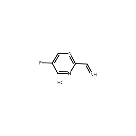 Cl.N=Cc1ncc(F)cn1